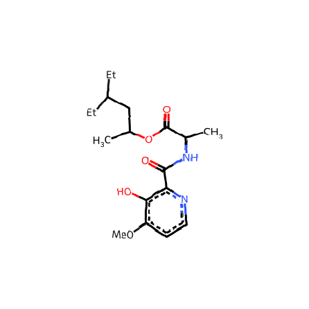 CCC(CC)CC(C)OC(=O)C(C)NC(=O)c1nccc(OC)c1O